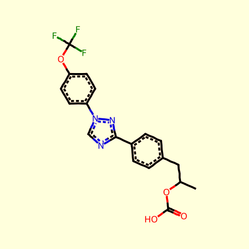 CC(Cc1ccc(-c2ncn(-c3ccc(OC(F)(F)F)cc3)n2)cc1)OC(=O)O